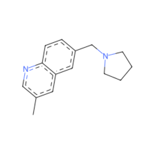 Cc1cnc2ccc(CN3CCCC3)cc2c1